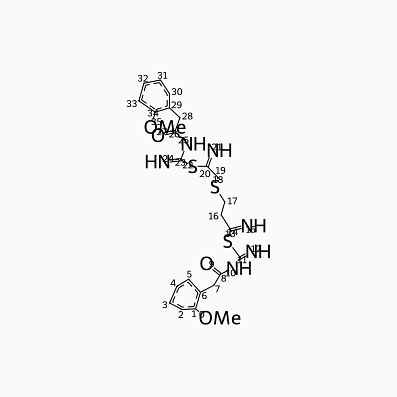 COc1ccccc1CC(=O)NC(=N)SC(=N)CCSCC(=N)SC(=N)NC(=O)Cc1ccccc1OC